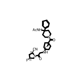 CC(=O)NC1(c2ccccc2)CCN(C(=O)C23CCC(NCC(=O)N4C[C@@H](F)C[C@H]4C#N)(CC2)CC3)CC1